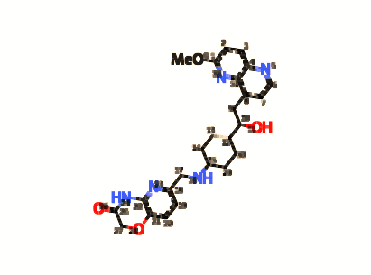 COc1ccc2nccc(C[C@@H](O)[C@H]3CC[C@H](NCc4ccc5c(n4)NC(=O)CO5)CC3)c2n1